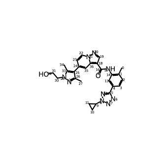 Cc1ccc(-c2nnn(C3CC3)n2)cc1NC(=O)c1cnn2ccc(-c3c(C)nn(CCO)c3C)cc12